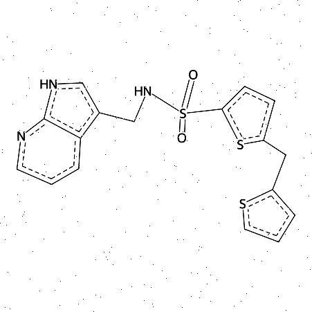 O=S(=O)(NCc1c[nH]c2ncccc12)c1ccc(Cc2cccs2)s1